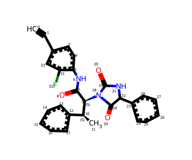 C#Cc1ccc(NC(=O)[C@H]([C@@H](C)c2ccccc2)N2C(=O)NC(c3ccccc3)C2=O)c(F)c1